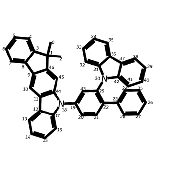 CC1(C)c2ccccc2-c2cc3c4ccccc4n(-c4ccc(-c5ccccc5)c(-n5c6ccccc6c6ccccc65)c4)c3cc21